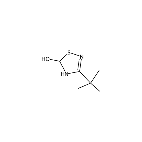 CC(C)(C)C1=NSC(O)N1